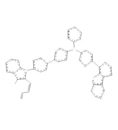 C=C/C=C\c1c(C)c2ccccc2n1-c1ccc(-c2ccc(N(c3ccccc3)c3ccc(-c4cccc5c4sc4ccccc45)cc3)cc2)cc1